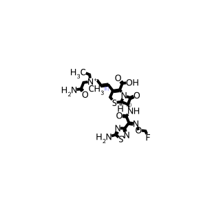 CC[N+](C)(C/C=C/C1=C(C(=O)O)N2C(=O)[C@@H](NC(=O)C(=NOCF)c3nsc(N)n3)[C@H]2SC1)CC(N)=O